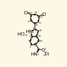 CCOC(=N)c1ccc2[nH]c(-c3cc(Cl)cc(Cl)c3)cc2c1.Cl